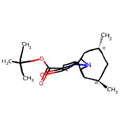 C[C@@H]1C[C@@H](C)C2CN(C(=O)OC(C)(C)C)CC1C21CC(=O)C1